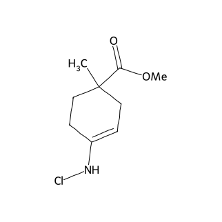 COC(=O)C1(C)CC=C(NCl)CC1